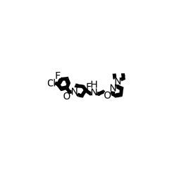 CCN(CC)c1cccc(OCCNCC2(F)CCN(C(=O)c3ccc(F)c(Cl)c3)CC2)n1